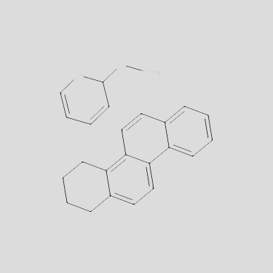 CCCCOC1C=CC=CO1.c1ccc2c(c1)ccc1c3c(ccc12)CCCC3